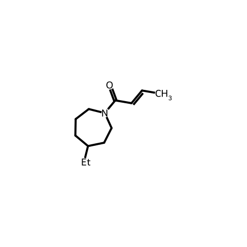 CC=CC(=O)N1CCCC(CC)CC1